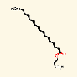 CCCCCCCCCCCCCCCCCCCCCCCCCC(=O)OCCS(=O)(=O)O